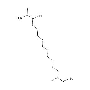 CCC(C)CC(C)CCCCCCCCCCC(O)C(C)N